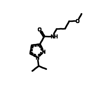 COCCCNC(=O)c1ccn(C(C)C)n1